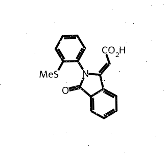 CSc1ccccc1N1C(=O)c2ccccc2C1=CC(=O)O